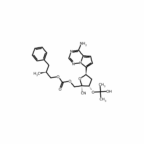 C[C@H](COC(=O)OC[C@@]1(C#N)O[C@@H](c2ccc3c(N)ncnn23)C[C@@H]1OC(C)(C)O)Cc1ccccc1